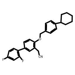 N#CCc1cc(-c2ccc(F)cc2F)ccc1OCc1ccc(C2CCCCC2)cc1